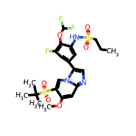 CCCS(=O)(=O)Nc1cc(-c2cnc3cc(OC)c(S(=O)(=O)C(C)(C)C)cn23)cc(F)c1OC(F)F